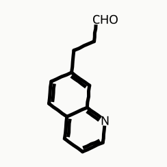 O=CCCc1ccc2cccnc2c1